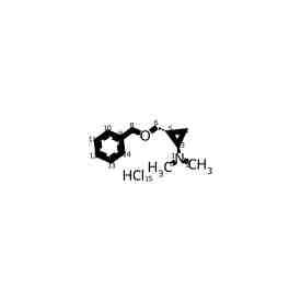 CN(C)[C@@H]1C[C@H]1COCc1ccccc1.Cl